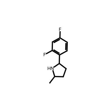 CC1CCC(c2ccc(F)cc2F)N1